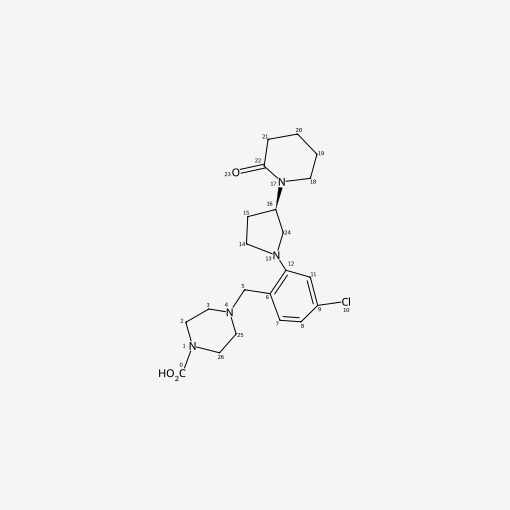 O=C(O)N1CCN(Cc2ccc(Cl)cc2N2CC[C@@H](N3CCCCC3=O)C2)CC1